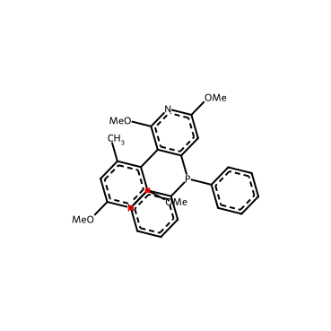 COc1cc(C)c(-c2c(P(c3ccccc3)c3ccccc3)cc(OC)nc2OC)c(OC)n1